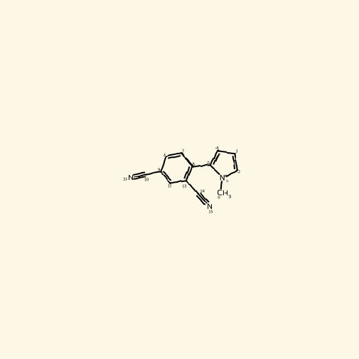 Cn1[c]ccc1-c1ccc(C#N)cc1C#N